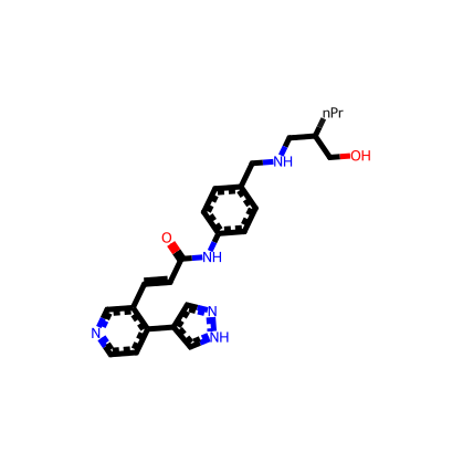 CCCC(CO)CNCc1ccc(NC(=O)/C=C/c2cnccc2-c2cn[nH]c2)cc1